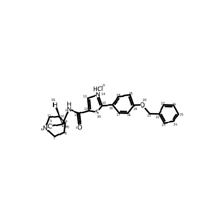 Cl.O=C(N[C@H]1CN2CCC1CC2)c1cnc(-c2ccc(OCc3ccccc3)cc2)s1